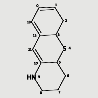 C1=CCC2SC3CCCNC3=CC2=C1